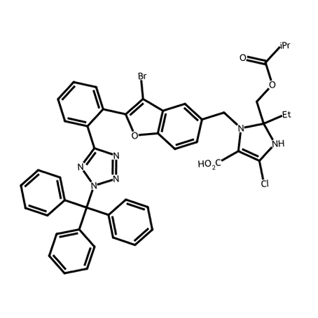 CCC1(COC(=O)C(C)C)NC(Cl)=C(C(=O)O)N1Cc1ccc2oc(-c3ccccc3-c3nnn(C(c4ccccc4)(c4ccccc4)c4ccccc4)n3)c(Br)c2c1